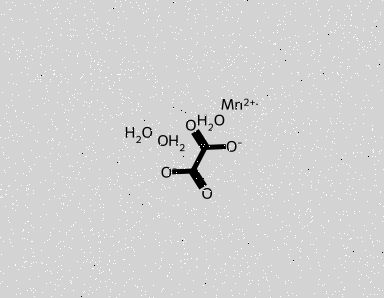 O.O.O.O=C([O-])C(=O)[O-].[Mn+2]